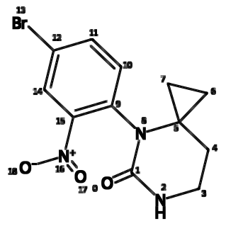 O=C1NCCC2(CC2)N1c1ccc(Br)cc1[N+](=O)[O-]